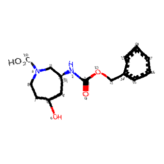 O=C(N[C@H]1CC(O)CCN(C(=O)O)C1)OCc1ccccc1